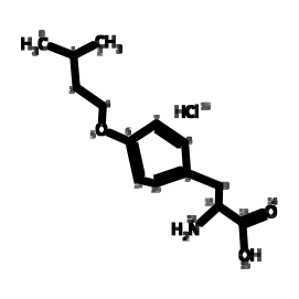 CC(C)CCOc1ccc(CC(N)C(=O)O)cc1.Cl